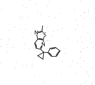 Cc1nc2ccc(C3(c4ccccc4)CC3)nc2s1